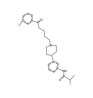 Cc1cccc(C(=O)CCCCN2CCC(c3cccc(NC(=O)C(C)C)c3)CC2)c1